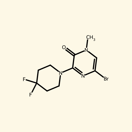 Cn1cc(Br)nc(N2CCC(F)(F)CC2)c1=O